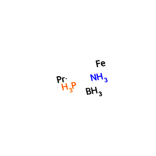 B.N.P.[Fe].[Pr]